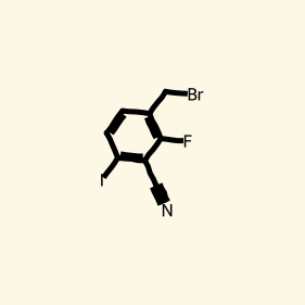 N#Cc1c(I)ccc(CBr)c1F